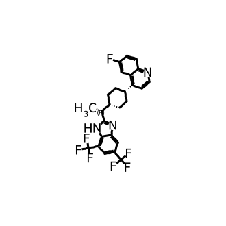 C[C@@H](c1nc2cc(C(F)(F)F)cc(C(F)(F)F)c2[nH]1)[C@H]1CC[C@@H](c2ccnc3ccc(F)cc32)CC1